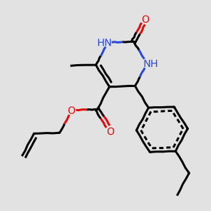 C=CCOC(=O)C1=C(C)NC(=O)NC1c1ccc(CC)cc1